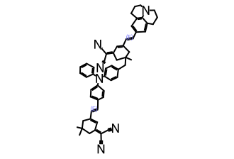 CC1(C)CC(/C=C/c2ccc(N(c3ccccc3)c3ccc(CC4(C)CC(/C=C/c5cc6c7c(c5)CCCN7CCC6)=CC(=C(C#N)C#N)C4)cc3)cc2)=CC(=C(C#N)C#N)C1